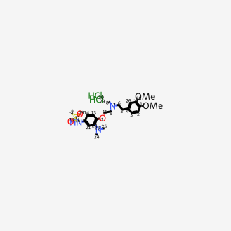 COc1ccc(CCN(C)CCOc2ccc(NS(C)(=O)=O)cc2N(C)C)cc1OC.Cl.Cl